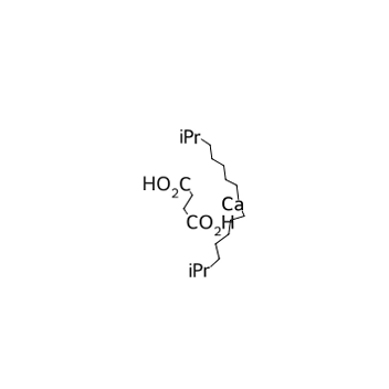 CC(C)CCCC[CH2][Ca][CH2]CCCCC(C)C.O=C(O)CCC(=O)O